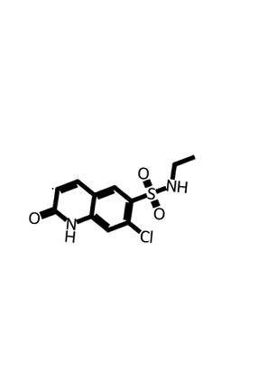 CCNS(=O)(=O)c1cc2c[c]c(=O)[nH]c2cc1Cl